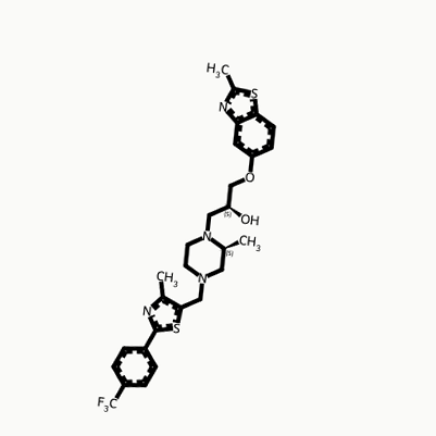 Cc1nc2cc(OC[C@@H](O)CN3CCN(Cc4sc(-c5ccc(C(F)(F)F)cc5)nc4C)C[C@@H]3C)ccc2s1